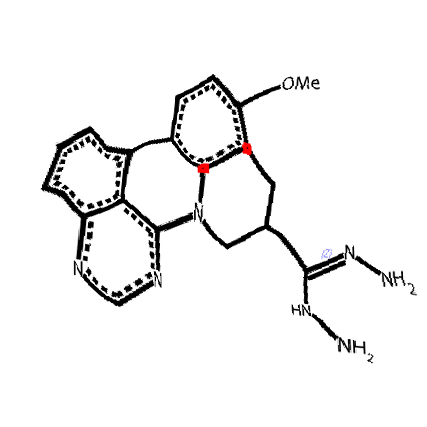 COc1ccc(-c2cccc3ncnc(N4CCCC(/C(=N/N)NN)C4)c23)cc1